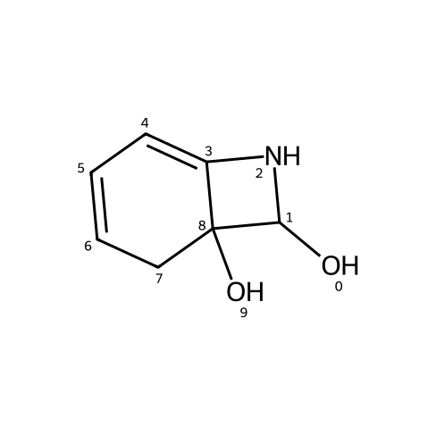 OC1NC2=CC=CCC21O